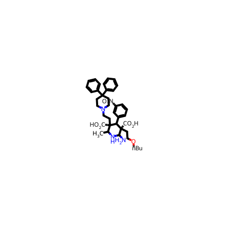 CCCCOCCC1(C(=O)O)C(N)NC(C)C(CCN2CCC(c3ccccc3)(c3ccccc3)CC2)(C(=O)O)C1c1cccc([N+](=O)[O-])c1